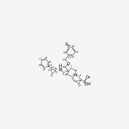 O=C(O)C1(CN2CCC(CN[C@@H]3C[C@H]3c3ccccc3)(COCc3cccc(F)c3)CC2)CC1